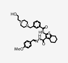 COc1ccc(/C=N/NC(=O)c2c(NC(=O)c3cccc(CN4CCN(CCO)CC4)c3)sc3c2CCCC3)cc1